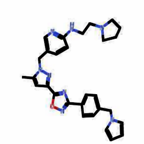 Cc1cc(-c2nc(-c3ccc(Cn4cccc4)cc3)no2)nn1Cc1ccc(NCCN2CCCC2)nc1